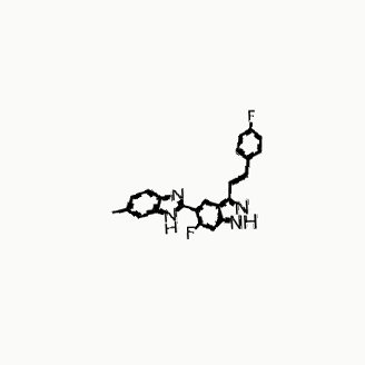 Cc1ccc2nc(-c3cc4c(C=Cc5ccc(F)cc5)n[nH]c4cc3F)[nH]c2c1